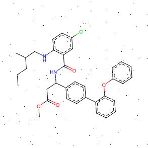 CCCC(C)CNc1ccc(Cl)cc1C(=O)NC(CC(=O)OC)c1ccc(-c2ccccc2Oc2ccccc2)cc1